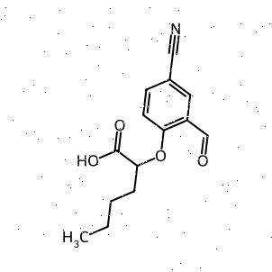 CCCCC(Oc1ccc(C#N)cc1C=O)C(=O)O